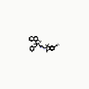 CN1/C(=C/C=C/C2=[N+](C)c3ccc4ccccc4c3C2(C)Cc2ccccc2)C(C)(C)c2cc(C#N)ccc21